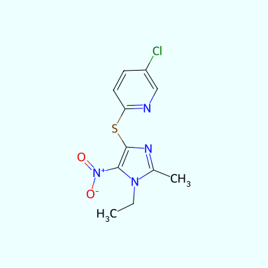 CCn1c(C)nc(Sc2ccc(Cl)cn2)c1[N+](=O)[O-]